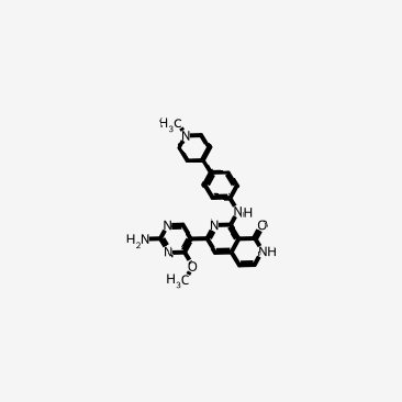 COc1nc(N)ncc1-c1cc2cc[nH]c(=O)c2c(Nc2ccc(C3CCN(C)CC3)cc2)n1